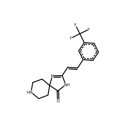 O=C1NC(/C=C/c2cccc(C(F)(F)F)c2)=NC12CCNCC2